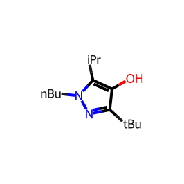 CCCCn1nc(C(C)(C)C)c(O)c1C(C)C